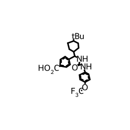 CC(C)(C)C1CCC(C(NC(=O)Nc2ccc(OC(F)(F)F)cc2)c2ccc(C(=O)O)cc2)CC1